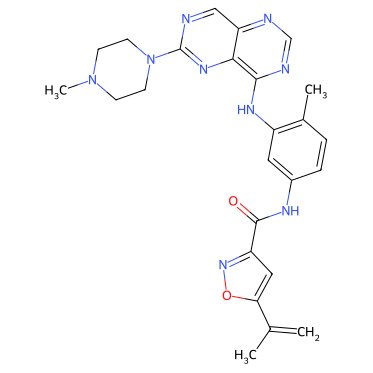 C=C(C)c1cc(C(=O)Nc2ccc(C)c(Nc3ncnc4cnc(N5CCN(C)CC5)nc34)c2)no1